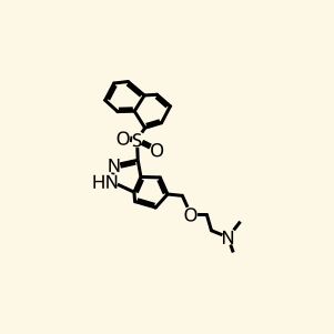 CN(C)CCOCc1ccc2[nH]nc(S(=O)(=O)c3cccc4ccccc34)c2c1